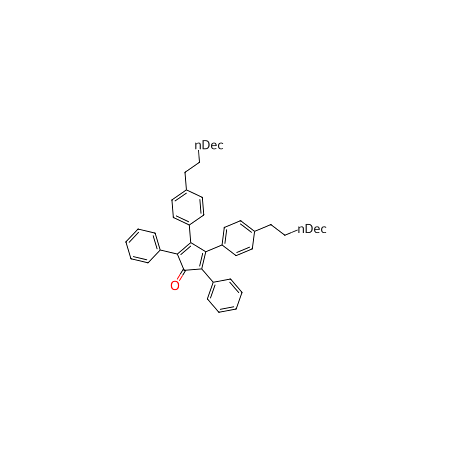 CCCCCCCCCCCCc1ccc(C2=C(c3ccccc3)C(=O)C(c3ccccc3)=C2c2ccc(CCCCCCCCCCCC)cc2)cc1